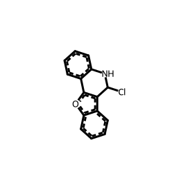 ClC1Nc2ccccc2-c2oc3ccccc3c21